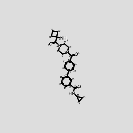 NC1(C(=O)N2CCN(C(=O)c3ccc(-c4cccc(C(=O)NC5CC5)c4)cc3)CC2)CCC1